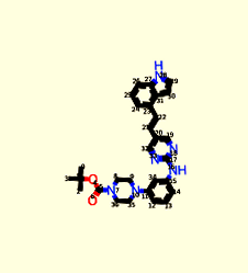 CC(C)(C)OC(=O)N1CCN(c2cccc(Nc3ncc(C=Cc4cccc5[nH]ccc45)cn3)c2)CC1